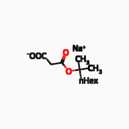 CCCCCCC(C)(C)OC(=O)CC(=O)[O-].[Na+]